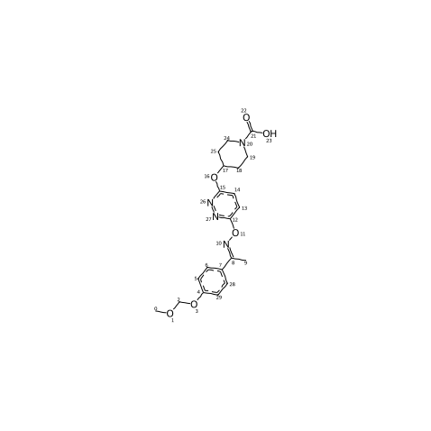 COCOc1ccc(C(C)=NOc2ccc(OC3CCN(C(=O)O)CC3)nn2)cc1